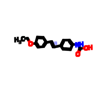 CCOc1ccc(/C=C/c2ccc(NC(=O)O)cc2)cc1